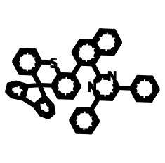 c1ccc(-c2cc(-c3ccccc3)nc(-c3c(-c4cccc5c4Sc4ccccc4C54c5ccccc5-c5ccccc54)ccc4ccccc34)n2)cc1